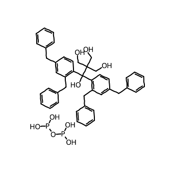 OCC(CO)(CO)C(O)(c1ccc(Cc2ccccc2)cc1Cc1ccccc1)c1ccc(Cc2ccccc2)cc1Cc1ccccc1.OP(O)OP(O)O